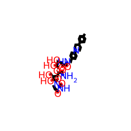 Cc1ccc(C2CCN(c3ccc(CNC(=O)C4=C[C@H](O)C(O)[C@@H](O[C@@H](C(N)=O)[C@H]5O[C@@H](n6ccc(=O)[nH]c6=O)C(O)[C@H]5CO)O4)cc3)CC2)cc1